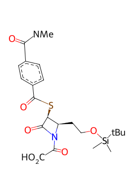 CNC(=O)c1ccc(C(=O)S[C@@H]2C(=O)N(C(=O)C(=O)O)[C@@H]2CCO[Si](C)(C)C(C)(C)C)cc1